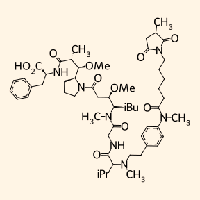 CC[C@H](C)C([C@@H](CC(=O)N1CCC[C@H]1[C@H](OC)[C@@H](C)C(=O)N[C@@H](Cc1ccccc1)C(=O)O)OC)N(C)C(=O)CNC(=O)C(C(C)C)N(C)CCc1ccc(N(C)C(=O)CCCCCN2C(=O)CC(C)C2=O)cc1